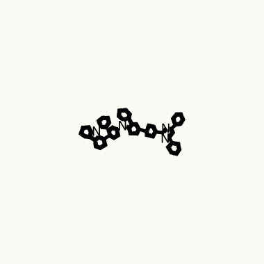 c1ccc(-c2cc(-c3ccccc3)nc(-c3ccc(-c4ccc5c(c4)c4ccccc4n5-c4ccc(-c5cccc6c7ccccc7n(-c7ccccc7)c56)cc4)cc3)n2)cc1